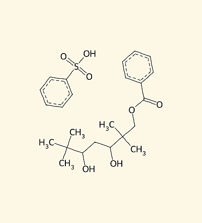 CC(C)(C)C(O)CC(O)C(C)(C)COC(=O)c1ccccc1.O=S(=O)(O)c1ccccc1